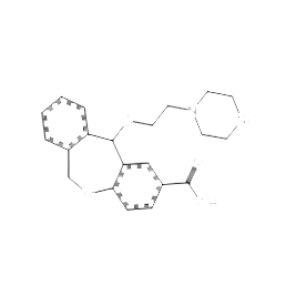 O=C(O)c1ccc2c(c1)C(SCCN1CCNCC1)c1ccccc1CO2